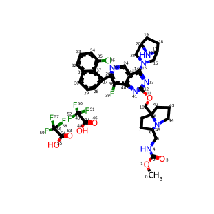 COC(=O)NCC1CCC2(COc3nc(N4CC5CCC(C4)N5)c4cnc(-c5cccc6cccc(Cl)c56)c(F)c4n3)CCCN12.O=C(O)C(F)(F)F.O=C(O)C(F)(F)F